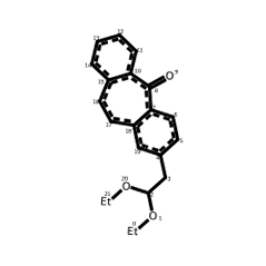 CCOC(Cc1ccc2c(=O)c3ccccc3ccc2c1)OCC